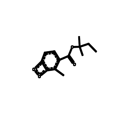 CCC(C)(C)OC(=O)c1ccc2ooc2c1C